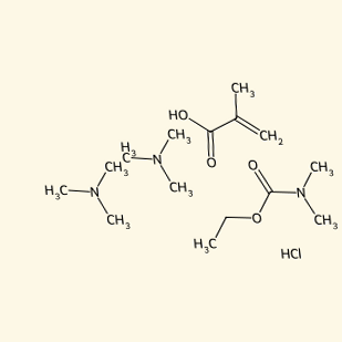 C=C(C)C(=O)O.CCOC(=O)N(C)C.CN(C)C.CN(C)C.Cl